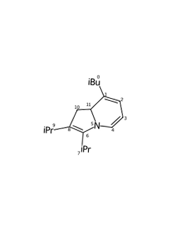 CCC(C)C1=CC=CN2C(C(C)C)=C(C(C)C)CC12